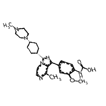 COc1cc(-c2nc([C@H]3CC[C@@H](N4CCN(C)CC4)CC3)n3ccnc(C)c23)ccc1NC(=O)O